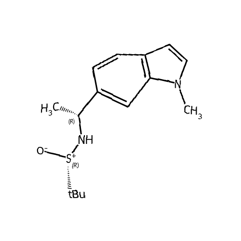 C[C@@H](N[S@@+]([O-])C(C)(C)C)c1ccc2ccn(C)c2c1